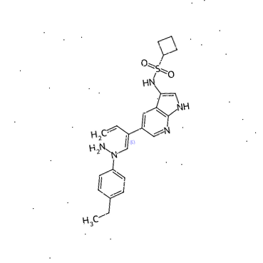 C=C/C(=C\N(N)c1ccc(CC)cc1)c1cnc2[nH]cc(NS(=O)(=O)C3CCC3)c2c1